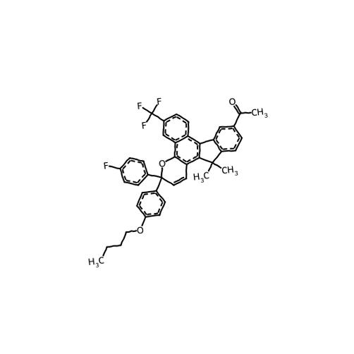 CCCCOc1ccc(C2(c3ccc(F)cc3)C=Cc3c4c(c5ccc(C(F)(F)F)cc5c3O2)-c2cc(C(C)=O)ccc2C4(C)C)cc1